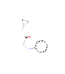 C[C@@H](Nc1ccccc1)C(=O)OC1CC1